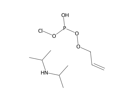 C=CCOOP(O)OCl.CC(C)NC(C)C